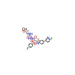 COCCNC(=O)CNC(=O)C(c1nc2ccc(-c3ccc(F)nc3)cc2s1)S(=O)(=O)c1ccc(F)cc1